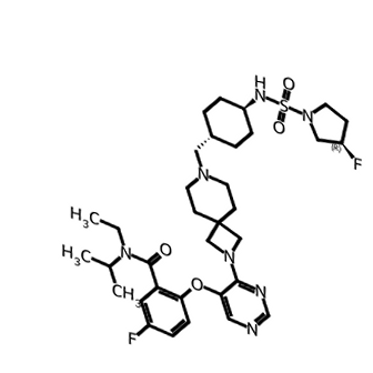 CCN(C(=O)c1cc(F)ccc1Oc1cncnc1N1CC2(CCN(C[C@H]3CC[C@H](NS(=O)(=O)N4CC[C@@H](F)C4)CC3)CC2)C1)C(C)C